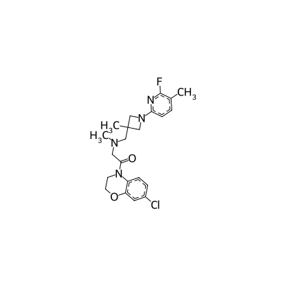 Cc1ccc(N2CC(C)(CN(C)CC(=O)N3CCOc4cc(Cl)ccc43)C2)nc1F